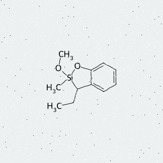 CCC1c2ccccc2O[Si]1(C)OC